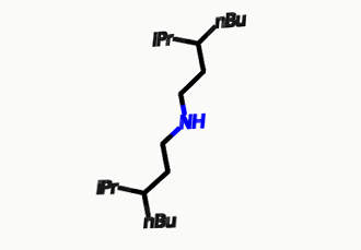 CCCCC(CCNCCC(CCCC)C(C)C)C(C)C